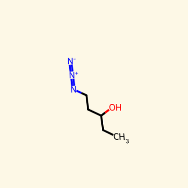 CCC(O)CCN=[N+]=[N-]